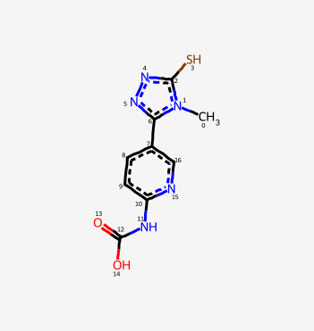 Cn1c(S)nnc1-c1ccc(NC(=O)O)nc1